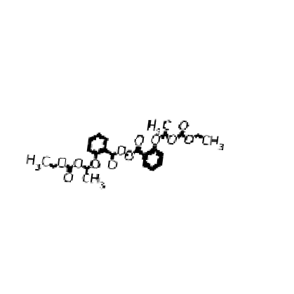 CCOC(=O)OC(C)Oc1ccccc1C(=O)OOC(=O)c1ccccc1OC(C)OC(=O)OCC